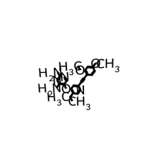 COc1ccc(C#Cc2cc(Oc3cnc(N)nc3N)c(C(C)C)cn2)c(OC)c1